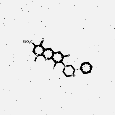 CCOC(=O)c1cn(C)c2nc3c(F)c(N4CCN[C@@H](c5ccccc5)C4)c(F)cc3cc2c1=O